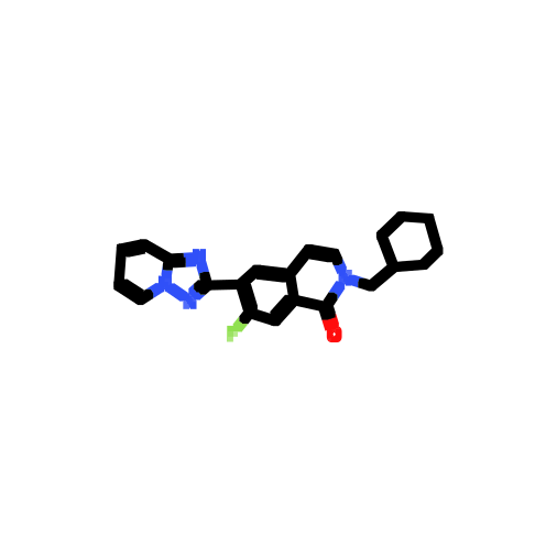 O=c1c2cc(F)c(-c3nc4ccccn4n3)cc2ccn1CC1CCCCC1